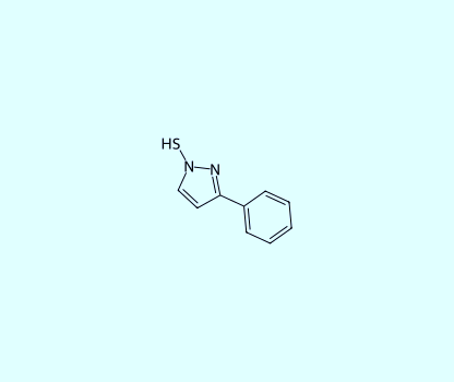 Sn1ccc(-c2ccccc2)n1